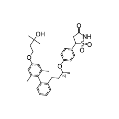 Cc1cc(OCCC(C)(C)O)cc(C)c1-c1ccccc1CC[C@H](C)Oc1ccc(C2CC(=O)NS2(=O)=O)cc1